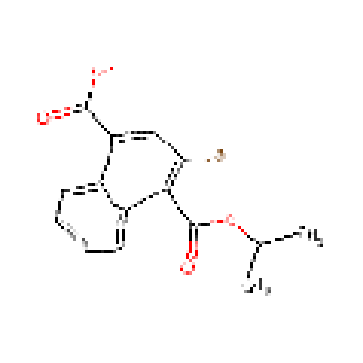 CC(C)OC(=O)c1c(Br)cc(C(=O)O)c2ccccc12